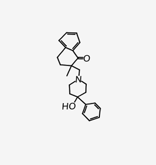 CC1(CN2CCC(O)(c3ccccc3)CC2)CCc2ccccc2C1=O